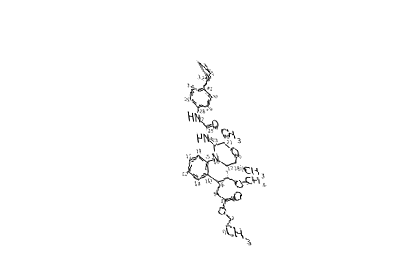 CCOC(=O)CC(COC)c1ccccc1N1C[C@@H](C)O[C@@H](C)C1NC(=O)Nc1ccc(C#N)cc1